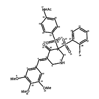 COc1cc(C=C2CNCC(S(=O)(=O)c3ccc(NC(C)=O)cc3)(S(=O)(=O)c3ccccc3F)C2=O)cc(OC)c1OC